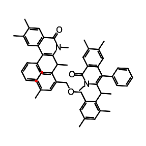 Cc1cc(C)c(C(C)c2c(-c3ccccc3)c3cc(C)c(C)cc3c(=O)n2C)c(COCc2cc(C)cc(C)c2C(C)c2c(-c3ccccc3)c3cc(C)c(C)cc3c(=O)n2C)c1